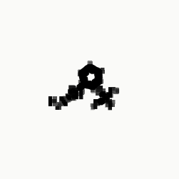 Brc1ccccc1.F[B-](F)(F)F.N=[NH2+]